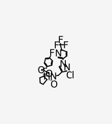 O=C(NCc1cn(-c2ccc(C(F)(F)F)nc2)nc1Cl)[C@@H]1CCC[C@@H]1S(=O)(=O)c1ccc(F)cc1